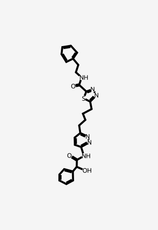 O=C(NCCc1ccccc1)c1nnc(CCCCc2ccc(NC(=O)C(O)c3ccccc3)nn2)s1